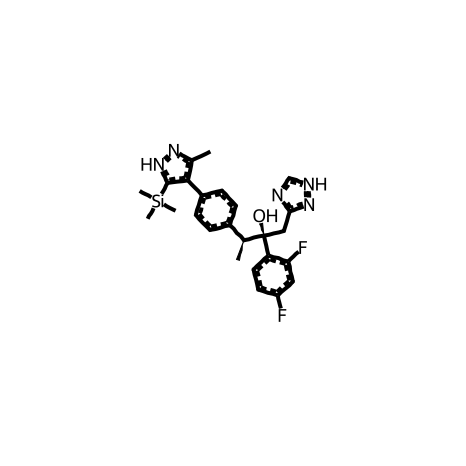 Cc1n[nH]c([Si](C)(C)C)c1-c1ccc([C@H](C)[C@](O)(Cc2nc[nH]n2)c2ccc(F)cc2F)cc1